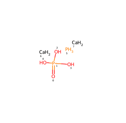 O=P(O)(O)O.P.[CaH2].[CaH2]